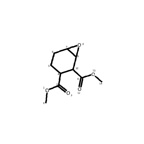 COC(=O)C1CCC2OC2C1C(=O)OC